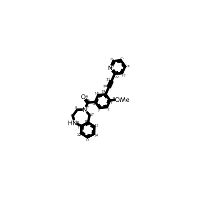 COc1ccc(C(=O)N2CCNc3ccccc3C2)cc1C#Cc1ccccn1